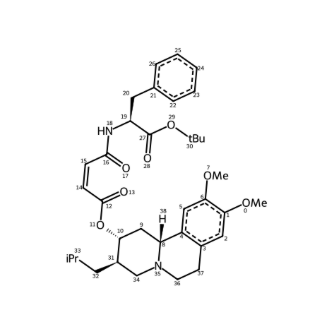 COc1cc2c(cc1OC)[C@H]1C[C@@H](OC(=O)/C=C\C(=O)N[C@@H](Cc3ccccc3)C(=O)OC(C)(C)C)[C@H](CC(C)C)CN1CC2